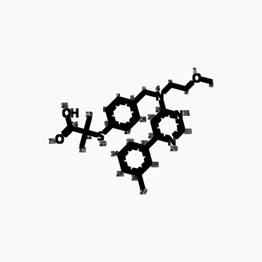 COCCN(Cc1ccc(SC(C)(C)C(=O)O)cc1)c1cc(-c2cccc(C)c2)ncn1